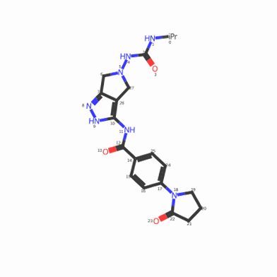 CC(C)NC(=O)NN1Cc2n[nH]c(NC(=O)c3ccc(N4CCCC4=O)cc3)c2C1